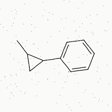 CC1CC1c1[c]cccc1